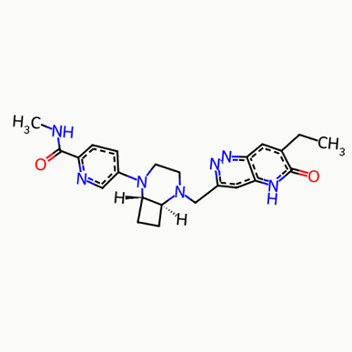 CCc1cc2nnc(CN3CCN(c4ccc(C(=O)NC)nc4)[C@H]4CC[C@@H]43)cc2[nH]c1=O